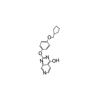 Oc1nc(Oc2ccc(OCC3CCCC3)cc2)nc2cnccc12